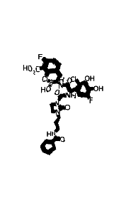 O=C(NCCCN1CCN(C(=O)NC(C(=O)N[C@H]2Cc3ccc(F)c(C(=O)O)c3OB2O)c2cc(F)c(O)c(O)c2Cl)C1=O)c1ccccc1